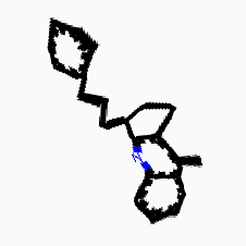 Cc1c2c(nc3ccccc13)C(=CC=Cc1ccccc1)CC2